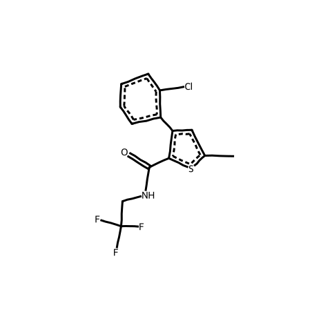 Cc1cc(-c2ccccc2Cl)c(C(=O)NCC(F)(F)F)s1